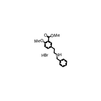 Br.COC(=O)c1cc(CCNCc2ccccc2)ccc1OC